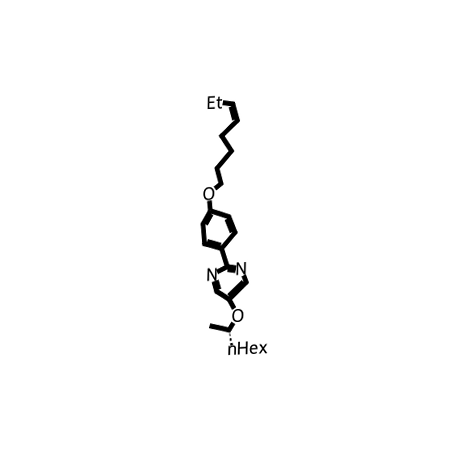 CC/C=C\CCCCOc1ccc(-c2ncc(O[C@@H](C)CCCCCC)cn2)cc1